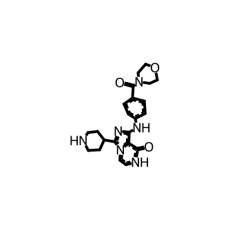 O=C(c1ccc(Nc2nc(C3CCNCC3)n3cc[nH]c(=O)c23)cc1)N1CCOCC1